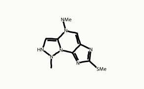 CNN1C=C2N=C(SC)N=C2N2C1=CNN2C